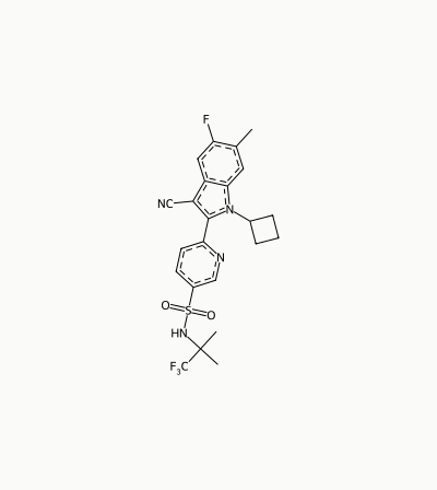 Cc1cc2c(cc1F)c(C#N)c(-c1ccc(S(=O)(=O)NC(C)(C)C(F)(F)F)cn1)n2C1CCC1